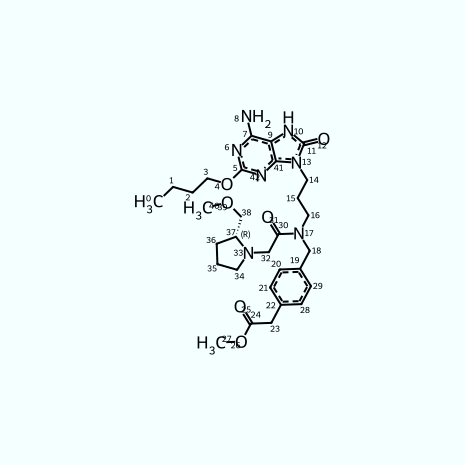 CCCCOc1nc(N)c2[nH]c(=O)n(CCCN(Cc3ccc(CC(=O)OC)cc3)C(=O)CN3CCC[C@@H]3COC)c2n1